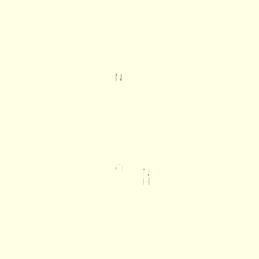 C1=NCC2CNOC2=C1